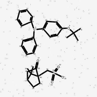 CC(C)(C)Oc1ccc([S+](c2ccccc2)c2ccccc2)cc1.CC1(C)C2CCC1(CS(=O)(=O)[O-])C(=O)C2